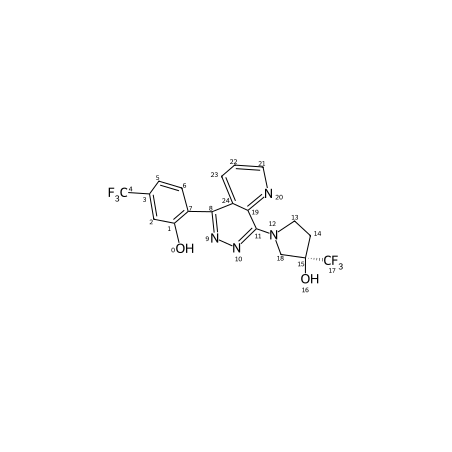 Oc1cc(C(F)(F)F)ccc1-c1nnc(N2CC[C@](O)(C(F)(F)F)C2)c2ncccc12